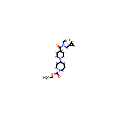 CCOC(=O)N1CCCC(N2CCC(C(=O)N(CC)CC3CC3)CC2)CC1